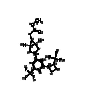 COC(=O)CC1[C@H]2CN(c3cc(C(F)(F)F)nc(N4CCC4C(F)(F)F)n3)C[C@@H]12